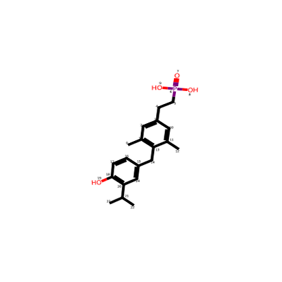 Cc1cc(CCP(=O)(O)O)cc(C)c1Cc1ccc(O)c(C(C)C)c1